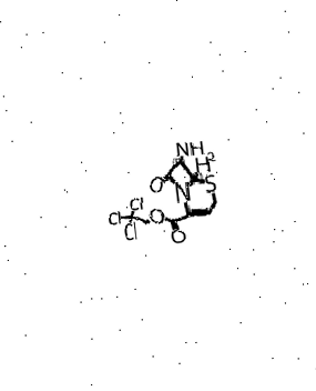 N[C@@H]1C(=O)N2C(C(=O)OCC(Cl)(Cl)Cl)=CCS[C@@H]12